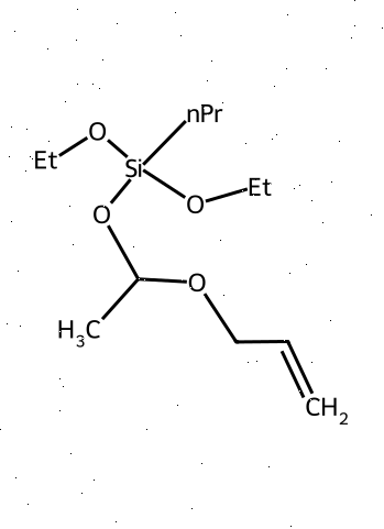 C=CCOC(C)O[Si](CCC)(OCC)OCC